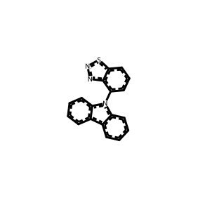 c1cc(-n2c3ccccc3c3ccccc32)c2nnsc2c1